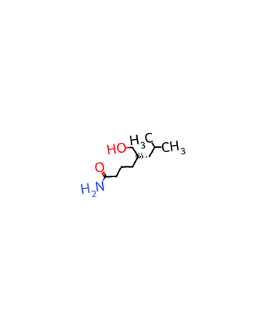 CC(C)C[C@@H](CO)CCCC(N)=O